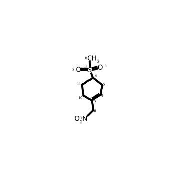 CS(=O)(=O)C1CC=C(C[N+](=O)[O-])CC1